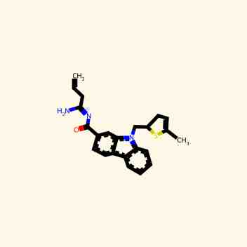 C=CC/C(N)=N/C(=O)c1ccc2c3ccccc3n(CC3CC=C(C)S3)c2c1